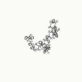 CS(=O)(=O)CCOC1CC(C([O])(CNS(C)(=O)=O)C2CCOC(OC3CCN(S(C)(=O)=O)C(C4CCOCC4)C3)C2)CCO1